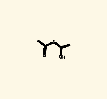 CC(=O)SC(C)O